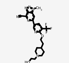 Cn1nnc2c(C#N)nc(-c3cnc(OCCC4CCN(CCO)CC4)c(C(F)(F)F)c3)cc21